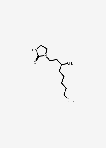 CCCCCCC(C)CCN1CCNC1=O